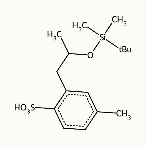 Cc1ccc(S(=O)(=O)O)c(CC(C)O[Si](C)(C)C(C)(C)C)c1